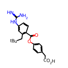 CC(C)(C)Cc1cc(NC(=N)N)ccc1C(=O)Oc1ccc(CC(=O)O)cc1